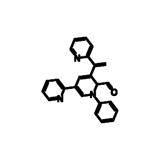 C=C(C1=CC(c2ccccn2)=CN(c2ccccc2)C1C=O)c1ccccn1